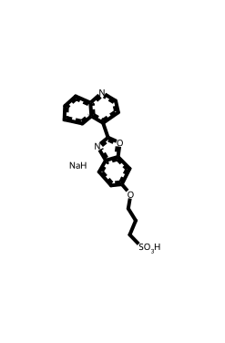 O=S(=O)(O)CCCOc1ccc2nc(-c3ccnc4ccccc34)oc2c1.[NaH]